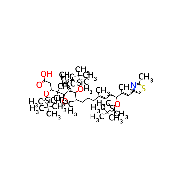 C=CC[C@@H](C(=O)C(C)(C)[C@H](CC(=O)O)O[Si](C)(C)C(C)(C)C)[C@@H](O[Si](C)(C)C(C)(C)C)[C@@H](C)CCC/C(C)=C/C[C@H](O[Si](C)(C)C(C)(C)C)/C(C)=C/c1csc(C)n1